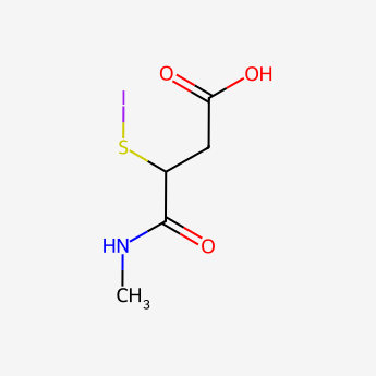 CNC(=O)C(CC(=O)O)SI